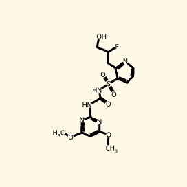 COc1cc(OC)nc(NC(=O)NS(=O)(=O)c2cccnc2CC(F)CO)n1